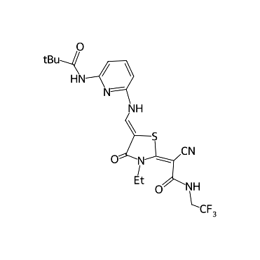 CCn1c(=C(C#N)C(=O)NCC(F)(F)F)sc(=CNc2cccc(NC(=O)C(C)(C)C)n2)c1=O